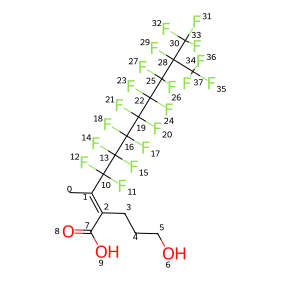 CC(=C(CCCO)C(=O)O)C(F)(F)C(F)(F)C(F)(F)C(F)(F)C(F)(F)C(F)(F)C(F)(C(F)(F)F)C(F)(F)F